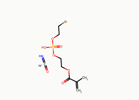 C=C(C)C(=O)OCCOP(=O)(O)OCCBr.N=C=O.[H+]